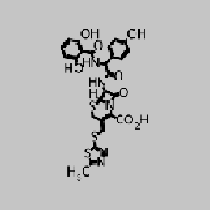 Cc1nnc(SCC2=C(C(=O)O)N3C(=O)C(NC(=O)C(NC(=O)c4c(O)cccc4O)c4ccc(O)cc4)[C@@H]3SC2)s1